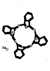 [Cl][Re].c1ccc2c(c1)-c1nc-2nc2[nH]c(nc3nc(nc4[nH]c(n1)c1ccccc41)-c1ccccc1-3)c1ccccc21